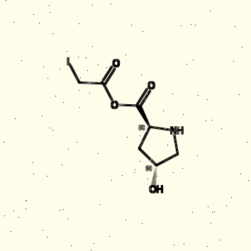 O=C(CI)OC(=O)[C@@H]1C[C@@H](O)CN1